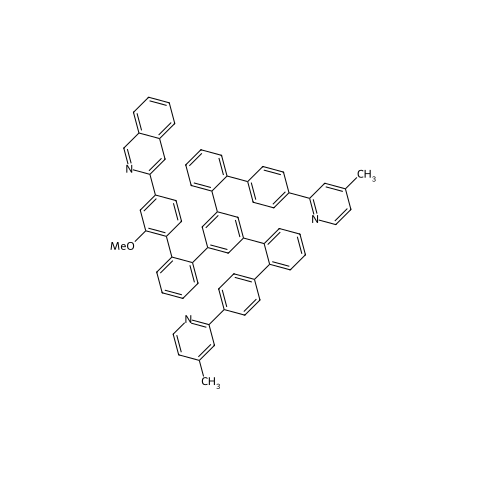 COc1cc(-c2cc3ccccc3cn2)ccc1-c1ccccc1-c1cc(-c2ccccc2-c2ccc(-c3cc(C)ccn3)cc2)cc(-c2ccccc2-c2ccc(-c3cc(C)ccn3)cc2)c1